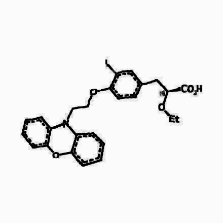 CCO[C@@H](Cc1ccc(OCCN2c3ccccc3Oc3ccccc32)c(I)c1)C(=O)O